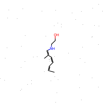 C\C=C/C=C\C(C)=C/NCCO